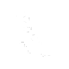 CN1CCC(CN2CCN(C(=O)CCc3oc(-c4ccc(Cl)c(Cl)c4)nc3-c3ccc(Cl)cc3)CC2)CC1